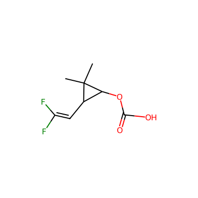 CC1(C)C(C=C(F)F)C1OC(=O)O